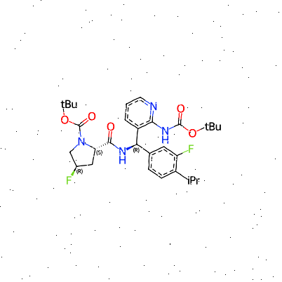 CC(C)c1ccc([C@@H](NC(=O)[C@@H]2C[C@@H](F)CN2C(=O)OC(C)(C)C)c2cccnc2NC(=O)OC(C)(C)C)cc1F